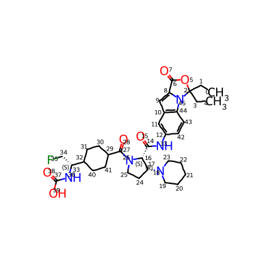 CCC1(CC)OC(=O)c2cc3cc(NC(=O)[C@@H]4[C@H](N5CCCCC5)CCN4C(=O)C4CCC([C@@H](CF)NC(=O)O)CC4)ccc3n21